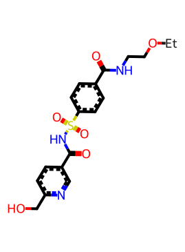 CCOCCNC(=O)c1ccc(S(=O)(=O)NC(=O)c2ccc(CO)nc2)cc1